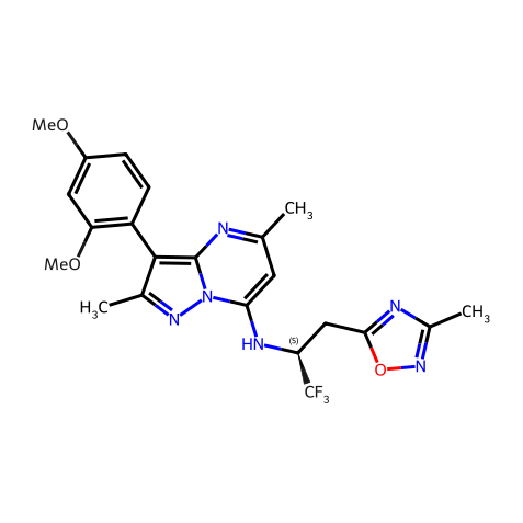 COc1ccc(-c2c(C)nn3c(N[C@@H](Cc4nc(C)no4)C(F)(F)F)cc(C)nc23)c(OC)c1